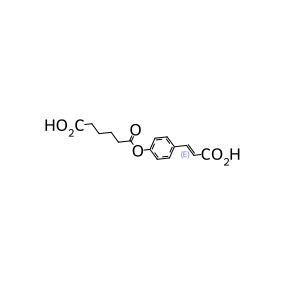 O=C(O)/C=C/c1ccc(OC(=O)CCCCC(=O)O)cc1